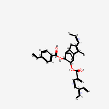 C=CC(/C=C\C(=C)C(=O)OC1C2CC(C3CC(/C=C\C)=C(C)C32)C1OC(=O)c1ccc(C=C)cc1)=C/C